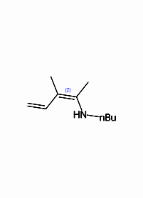 C=C/C(C)=C(/C)NCCCC